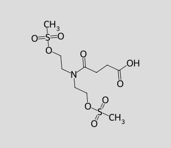 CS(=O)(=O)OCCN(CCOS(C)(=O)=O)C(=O)CCC(=O)O